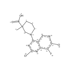 CC1(C(=O)O)CCCN(c2nc(Cl)nc3c(F)c(Cl)ncc23)C1